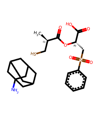 C[C@H](CS)C(=O)O[C@@H](CS(=O)(=O)c1ccccc1)C(=O)O.NC12CC3CC(CC(C3)C1)C2